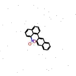 O=[N+]([O-])c1cccc2cccc(-c3ccc4ccccc4c3)c12